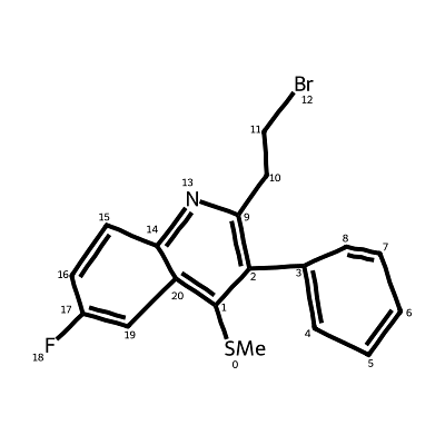 CSc1c(-c2ccccc2)c(CCBr)nc2ccc(F)cc12